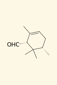 CC1=CC[C@H](C)C(C)(C)[C@@H]1C=O